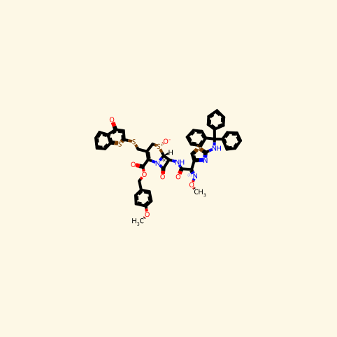 CO/N=C(\C(=O)NC1C(=O)N2C(C(=O)OCc3ccc(OC)cc3)=C(CSc3cc(=O)c4ccccc4s3)C[S+]([O-])[C@H]12)c1csc(NC(c2ccccc2)(c2ccccc2)c2ccccc2)n1